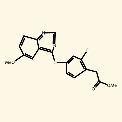 COC(=O)Cc1ccc(Oc2ncnc3ccc(OC)cc23)cc1F